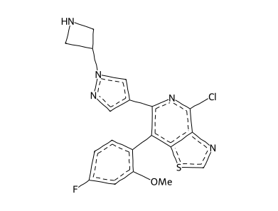 COc1cc(F)ccc1-c1c(-c2cnn(C3CNC3)c2)nc(Cl)c2ncsc12